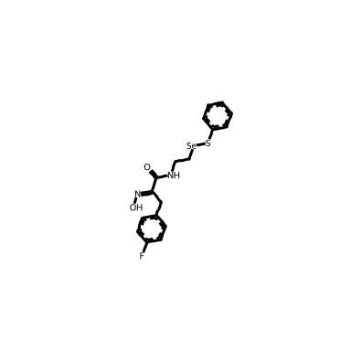 O=C(NCC[Se]Sc1ccccc1)/C(Cc1ccc(F)cc1)=N/O